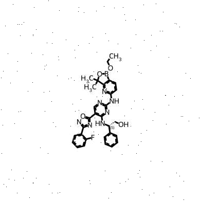 CCOB1OC(C)(C)c2nc(Nc3ncc(-c4nc(-c5ccccc5F)no4)c(N[C@H](CO)c4ccccc4)n3)ccc21